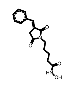 O=C(CCCCN1C(=O)C/C(=C\c2ccccc2)C1=O)NO